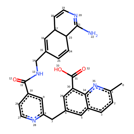 Cc1ccc2cc(Cc3cc(C(=O)NCC4=CC5C=CN=C(N)C5C=C4)ccn3)cc(C(=O)O)c2n1